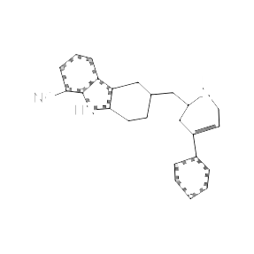 N#Cc1cccc2c3c([nH]c12)CCC(CC1CC(c2ccccc2)=CCN1)C3